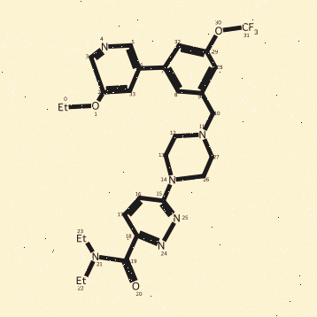 CCOc1cncc(-c2cc(CN3CCN(c4ccc(C(=O)N(CC)CC)nn4)CC3)cc(OC(F)(F)F)c2)c1